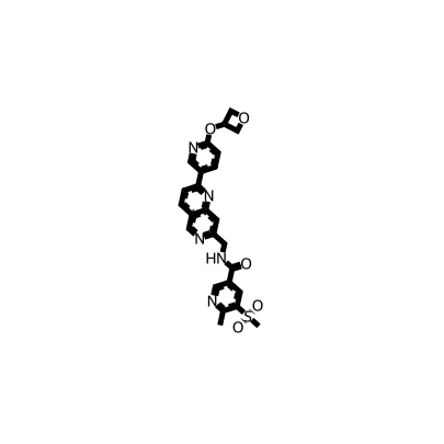 Cc1ncc(C(=O)NCc2cc3nc(-c4ccc(OC5COC5)nc4)ccc3cn2)cc1S(C)(=O)=O